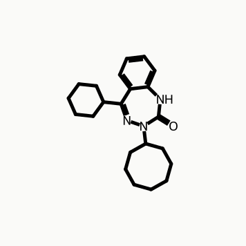 O=C1Nc2ccccc2C(C2CCCCC2)=NN1C1CCCCCCC1